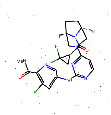 CNC(=O)c1ncc(Nc2nccc(N3C[C@H]4CC[C@@H](C3)N4C(=O)[C@H]3CC3(F)F)n2)cc1F